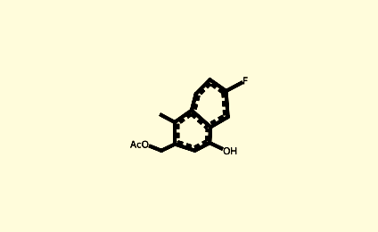 CC(=O)OCc1cc(O)c2cc(F)ccc2c1C